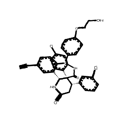 C#Cc1ccc(Oc2ccc(OCCO)cc2)c([C@H]2NC(=O)C[C@@H](c3cccc(Cl)c3)[C@]23C(=O)Nc2cc(Cl)ccc23)c1